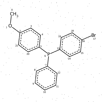 COc1ccc(P(c2ccccc2)c2ccc(Br)cc2)cc1